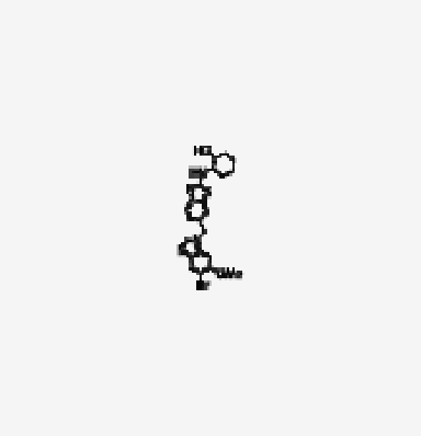 COc1cc2c(cc1Br)ncn2Cc1ccc2nc(NC3CCCCC3O)sc2c1